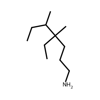 CCC(C)C(C)(CC)CCCN